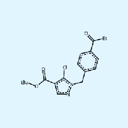 CCC(=O)c1ccc(Cn2ncc(C(=O)OC(C)(C)C)c2Cl)cc1